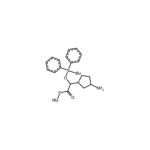 CC(C)(C)OC(=O)C(O[Si](c1ccccc1)(c1ccccc1)C(C)(C)C)N1CCC(N)C1